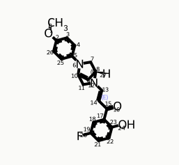 COc1ccc(N2C[C@H]3C=C2CN3/C=C/C(=O)c2cc(F)ccc2O)cc1